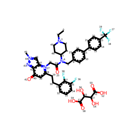 CCN1CCC(N(Cc2ccc(-c3ccc(C(F)(F)F)cc3)cc2)C(=O)Cn2c(CCc3cccc(F)c3F)cc(=O)c3nn(C)cc32)CC1.O=C(O)C(O)C(O)C(=O)O